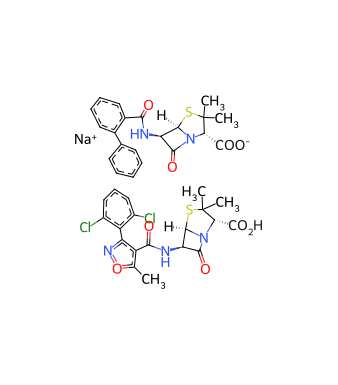 CC1(C)S[C@@H]2[C@H](NC(=O)c3ccccc3-c3ccccc3)C(=O)N2[C@H]1C(=O)[O-].Cc1onc(-c2c(Cl)cccc2Cl)c1C(=O)N[C@@H]1C(=O)N2[C@@H]1SC(C)(C)[C@@H]2C(=O)O.[Na+]